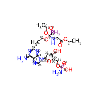 CCOC(=O)CNC(OCC)(OCC)[PH2]=O.Nc1ncnc2c1ncn2[C@H]1C[C@H](O)[C@@H](COP(N)(=O)O)O1